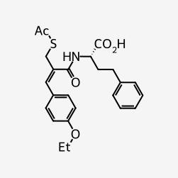 CCOc1ccc(/C=C(/CSC(C)=O)C(=O)N[C@@H](CCc2ccccc2)C(=O)O)cc1